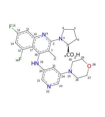 Cc1c(N2CCC[C@H]2C(=O)O)nc2cc(F)cc(F)c2c1Nc1cncc(N2CCOCC2)c1